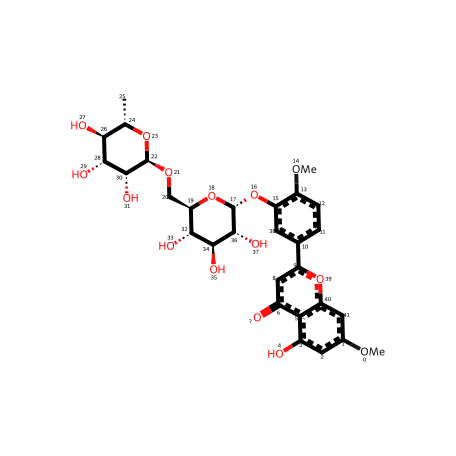 COc1cc(O)c2c(=O)cc(-c3ccc(OC)c(O[C@H]4O[C@H](CO[C@@H]5O[C@@H](C)[C@H](O)[C@@H](O)[C@H]5O)[C@@H](O)[C@H](O)[C@H]4O)c3)oc2c1